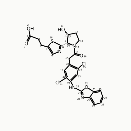 O=C(O)CCc1cnc([C@@H]2[C@@H](O)CCN2C(=O)Cc2cc(Cl)c(Nc3nc4ccccc4o3)cc2Cl)s1